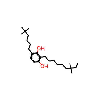 CCC(C)(C)CCCCCCc1c(O)ccc(CCCCC(C)(C)C)c1O